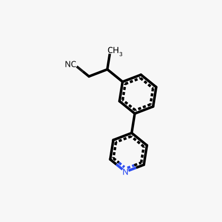 CC(CC#N)c1cccc(-c2ccncc2)c1